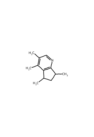 Cc1cnc2c(c1C)C(C)CC2C